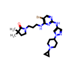 CC1(C)CCN(CCCNc2nc(Nc3cnn(C4CCN(C5CC5)CC4)c3)ncc2Br)C1=O